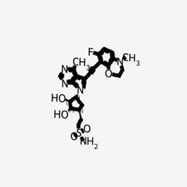 Cc1ncnc2c1c(C#Cc1c(F)ccc3c1OCCN3C)cn2[C@@H]1C[C@@H](CCS(N)(=O)=O)[C@@H](O)[C@H]1O